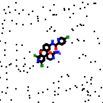 NC1=NCC[C@]2(O1)c1cc(NC(=O)c3ccc(Cl)cn3)ccc1Oc1c2cc(Cl)nc1F